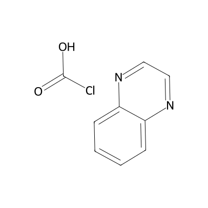 O=C(O)Cl.c1ccc2nccnc2c1